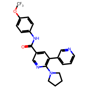 O=C(Nc1ccc(OC(F)(F)F)cc1)c1cnc(N2CCCC2)c(-c2cccnc2)c1